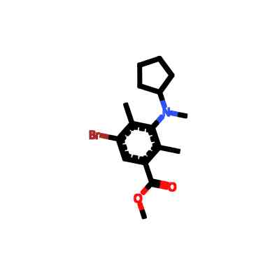 COC(=O)c1cc(Br)c(C)c(N(C)C2CCCC2)c1C